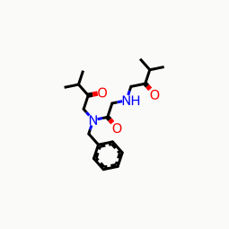 CC(C)C(=O)CNCC(=O)N(CC(=O)C(C)C)Cc1ccccc1